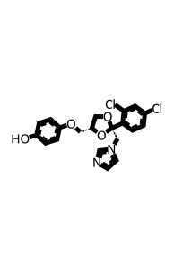 Oc1ccc(OC[C@@H]2CO[C@@](Cn3ccnc3)(c3ccc(Cl)cc3Cl)O2)cc1